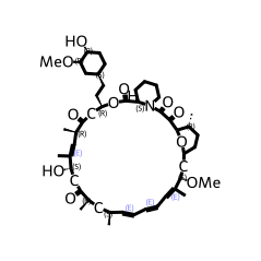 CO[C@H]1CC2CC[C@@H](C)C(O2)C(=O)C(=O)N2CCCC[C@H]2C(=O)O[C@H](CC[C@@H]2CC[C@@H](O)[C@H](OC)C2)CC(=O)[C@H](C)/C=C(\C)[C@@H](O)CC(=O)[C@H](C)C[C@H](C)/C=C/C=C/C=C/1C